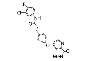 CNC(=O)c1cc(Oc2ccc(CCC(=O)Nc3ccc(F)c(Cl)c3)cc2)ccn1